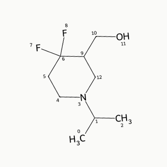 CC(C)N1CCC(F)(F)C(CO)C1